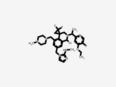 [2H]C1c2cc(Cn3ccnc3NC)cc(CN3CCN(C)CC3)c2C2(CN1C(C)c1cc(OCC)c(F)cn1)CC2(F)F